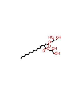 CCCCCCCCCCC=CC(CC(=O)OCC(O)CO)C(=O)OCC(O)CO